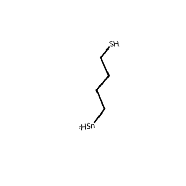 SCCC[CH2][SnH]